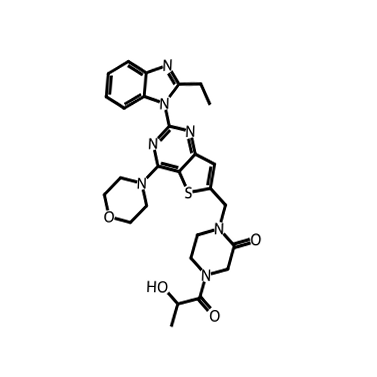 CCc1nc2ccccc2n1-c1nc(N2CCOCC2)c2sc(CN3CCN(C(=O)C(C)O)CC3=O)cc2n1